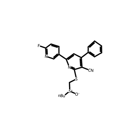 CCCC[S+]([O-])CSc1nc(-c2ccc(F)nc2)cc(-c2ccccc2)c1C#N